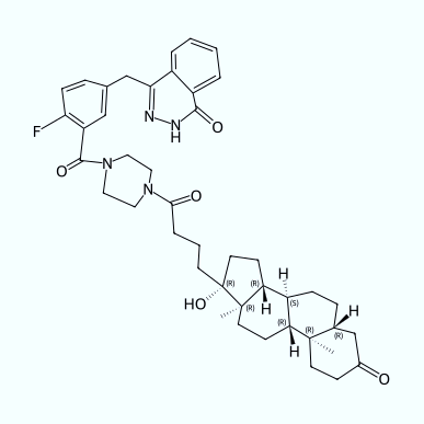 C[C@@]12CCC(=O)C[C@H]1CC[C@H]1[C@H]2CC[C@]2(C)[C@@H]1CC[C@]2(O)CCCC(=O)N1CCN(C(=O)c2cc(Cc3n[nH]c(=O)c4ccccc34)ccc2F)CC1